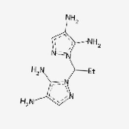 CCC(n1ncc(N)c1N)n1ncc(N)c1N